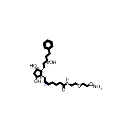 O=C(CCC/C=C\C[C@@H]1[C@@H](CC[C@@H](O)CCc2ccccc2)[C@H](O)C[C@@H]1O)NCCOCCO[N+](=O)[O-]